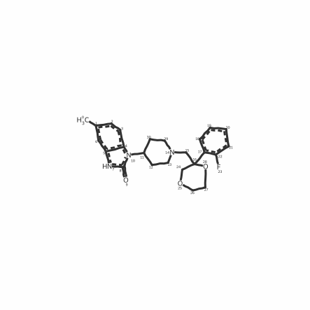 Cc1ccc2c(c1)[nH]c(=O)n2C1CCN(CC2(c3ccccc3F)COCCO2)CC1